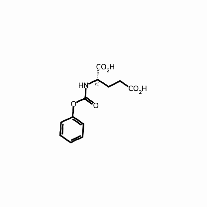 O=C(O)CC[C@H](NC(=O)Oc1ccccc1)C(=O)O